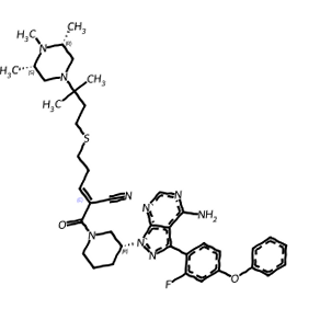 C[C@@H]1CN(C(C)(C)CCSCC/C=C(\C#N)C(=O)N2CCC[C@@H](n3nc(-c4ccc(Oc5ccccc5)cc4F)c4c(N)ncnc43)C2)C[C@H](C)N1C